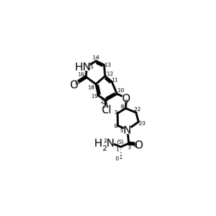 C[C@H](N)C(=O)N1CCC(Oc2cc3cc[nH]c(=O)c3cc2Cl)CC1